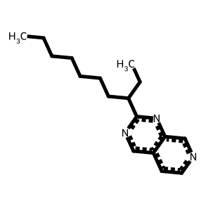 CCCCCCCC(CC)c1ncc2ccncc2n1